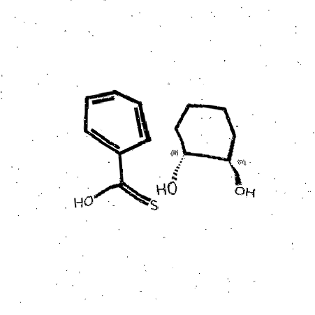 OC(=S)c1ccccc1.O[C@@H]1CCCC[C@H]1O